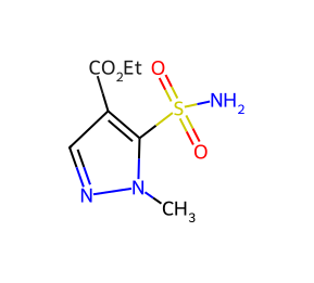 CCOC(=O)c1cnn(C)c1S(N)(=O)=O